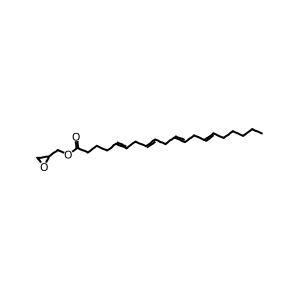 CCCCCC=CCC=CCC=CCC=CCCCC(=O)OCC1CO1